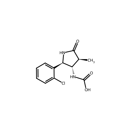 C[C@@H]1C(=O)N[C@H](c2ccccc2Cl)[C@H]1NC(=O)O